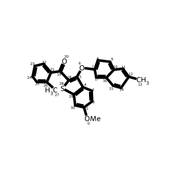 COc1ccc2c(Oc3ccc4cc(C)ccc4c3)c(C(=O)c3ccccc3C)sc2c1